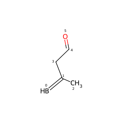 B=C(C)CC=O